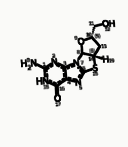 Nc1nc2c(nc3n2C2O[C@H](CO)C[C@@H]2S3)c(=O)[nH]1